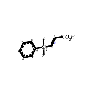 C[Si](C)(/C=C/C(=O)O)c1ccccc1